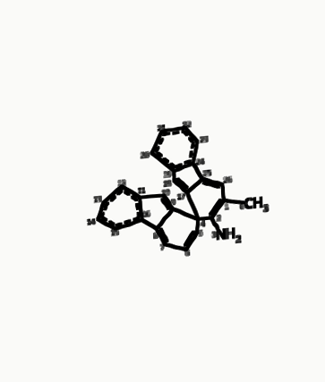 CC1=C(N)C2(C=CC=C3C2=Cc2ccccc23)C2=Cc3ccccc3C2=C1